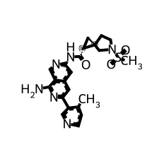 Cc1ccncc1-c1cc2cc(NC(=O)[C@@H]3C[C@]34CCN(S(C)(=O)=O)C4)ncc2c(N)n1